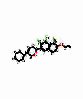 CCOc1ccc2cc(C3CC=C(C4CCCCC4)CO3)c(F)c(F)c2c1F